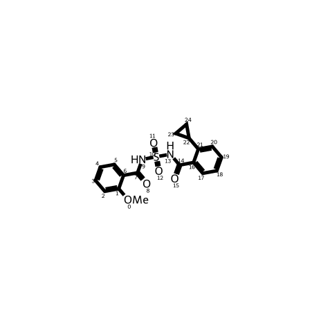 COc1ccccc1C(=O)NS(=O)(=O)NC(=O)c1ccccc1C1CC1